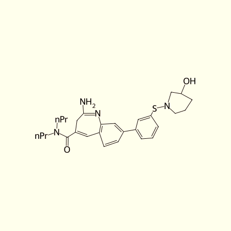 CCCN(CCC)C(=O)C1=Cc2ccc(-c3cccc(SN4CCCC(O)C4)c3)cc2N=C(N)C1